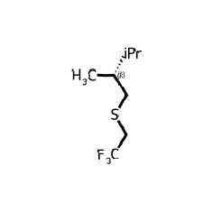 CC(C)[C@@H](C)CSCC(F)(F)F